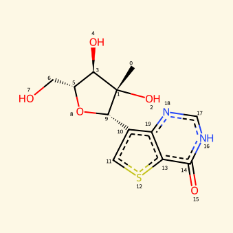 C[C@]1(O)[C@H](O)[C@@H](CO)O[C@H]1c1csc2c(=O)[nH]cnc12